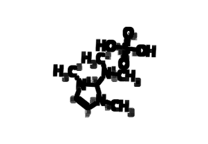 CN(C)C1N(C)C=CN1C.O=S(=O)(O)O